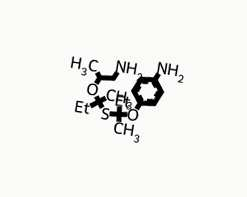 CCC(C)(Oc1ccc(N)cc1)SC(C)(CC)OC(C)CN